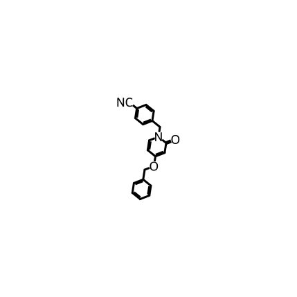 N#Cc1ccc(Cn2ccc(OCc3ccccc3)cc2=O)cc1